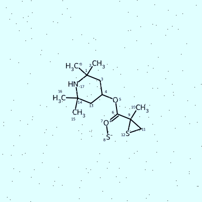 CC1(C)CC(OC(=[O+][S-])C2(C)CS2)CC(C)(C)N1